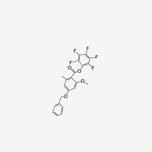 COc1cc(OCc2ccccc2)cc(C)c1C(=O)Oc1c(F)c(F)c(F)c(F)c1F